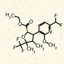 CCOC(=O)[C@@H]1OC(C)(C(F)(F)F)C(C)C1c1ccc(C(F)F)nc1OC